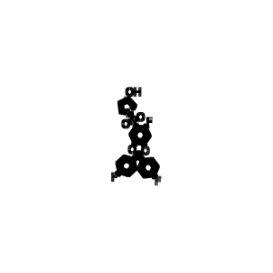 O=S(=O)(c1cc2c(cc1F)OC(c1ccc(F)cc1)(c1ccc(F)cc1)O2)N1CC[C@H](O)C1